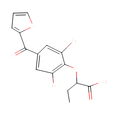 CCC(Oc1c(Br)cc(C(=O)c2ccco2)cc1Br)C(=O)O